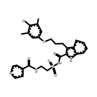 Cc1cc(OCCCc2c(C(=O)NS(=O)(=O)CCNC(=O)c3ccncc3)[nH]c3ccccc23)cc(C)c1Cl